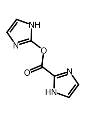 O=C(Oc1ncc[nH]1)c1ncc[nH]1